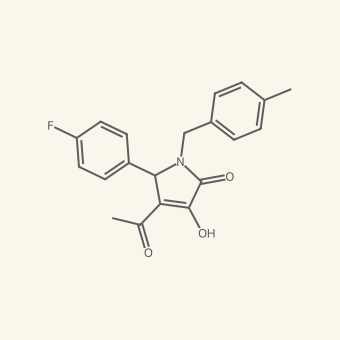 CC(=O)C1=C(O)C(=O)N(Cc2ccc(C)cc2)C1c1ccc(F)cc1